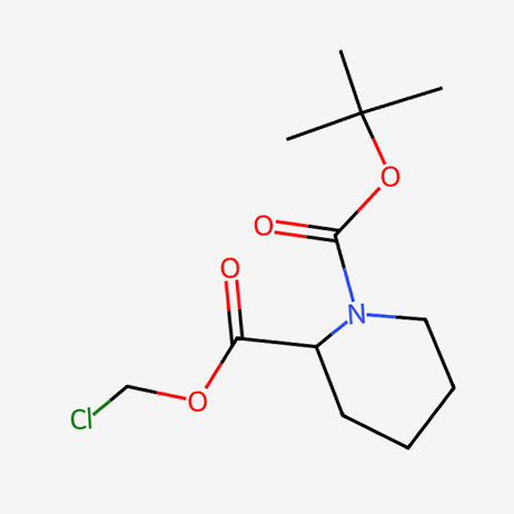 CC(C)(C)OC(=O)N1CCCCC1C(=O)OCCl